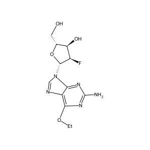 CCOc1nc(N)nc2c1ncn2[C@@H]1O[C@H](CO)[C@@H](O)[C@H]1F